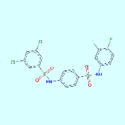 O=S(=O)(Nc1ccc(F)c(F)c1)c1ccc(NS(=O)(=O)c2cc(Cl)cc(Cl)c2)cc1